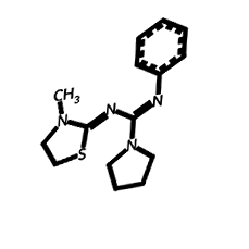 CN1CCSC1=NC(=Nc1ccccc1)N1CCCC1